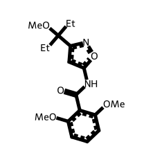 CCC(CC)(OC)c1cc(NC(=O)c2c(OC)cccc2OC)on1